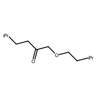 CC(C)CCOCC(=O)CCC(C)C